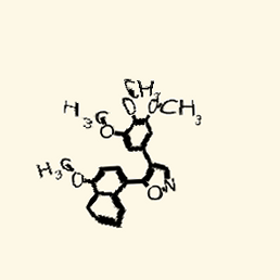 COc1cc(-c2cnoc2-c2ccc(OC)c3ccccc23)cc(OC)c1OC